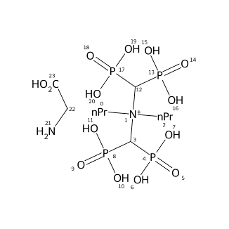 CCC[N+](CCC)(C(P(=O)(O)O)P(=O)(O)O)C(P(=O)(O)O)P(=O)(O)O.NCC(=O)O